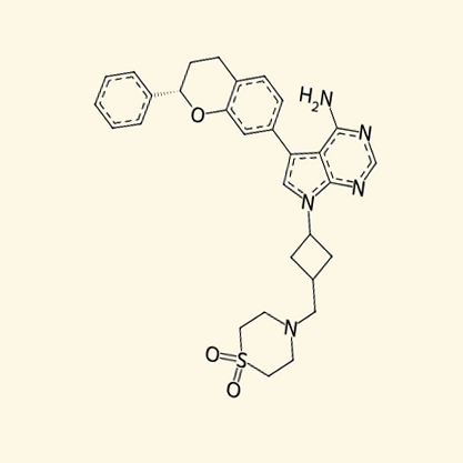 Nc1ncnc2c1c(-c1ccc3c(c1)O[C@H](c1ccccc1)CC3)cn2C1CC(CN2CCS(=O)(=O)CC2)C1